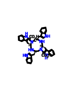 O=C(O)CN1C[C@H](Cc2c[nH]c3ccccc23)NC[C@H](Cc2c[nH]c3ccccc23)N(CC(=O)O)C[C@H](Cc2c[nH]c3ccccc23)NC[C@@H]1Cc1c[nH]c2ccccc12